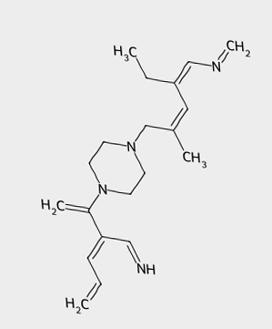 C=C/C=C(\C=N)C(=C)N1CCN(C/C(C)=C\C(=C/N=C)CC)CC1